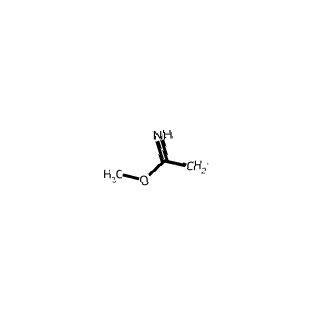 [CH2]C(=N)OC